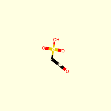 O=C=[C]S(=O)(=O)O